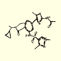 CC(=O)Nc1nc(C)c(-c2cc3c(c(NS(=O)(=O)c4cn(C)nc4C)c2)C(=O)N(C(C)C2CC2)C3)s1